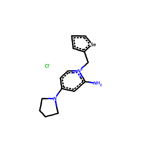 Nc1cc(N2CCCC2)cc[n+]1Cc1ccc[se]1.[Cl-]